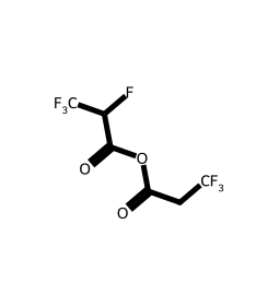 O=C(CC(F)(F)F)OC(=O)C(F)C(F)(F)F